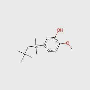 COc1ccc([Si](C)(C)CC(C)(C)C)cc1O